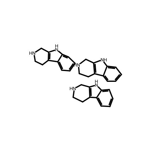 c1ccc2c3c([nH]c2c1)CNCC3.c1ccc2c3c([nH]c2c1)CNCC3.c1ccc2c3c([nH]c2c1)CNCC3